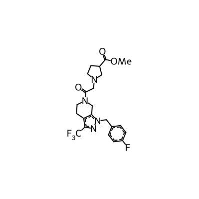 COC(=O)C1CCN(CC(=O)N2CCc3c(C(F)(F)F)nn(Cc4ccc(F)cc4)c3C2)C1